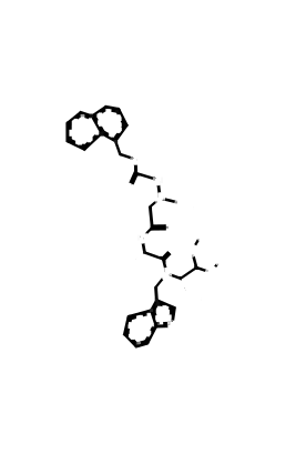 CCOC(OCC)[C@H](C)N(Cc1csc2ccccc12)C(=O)[C@H](C)NC(=O)CN(C)NC(=O)NCc1cccc2ccccc12